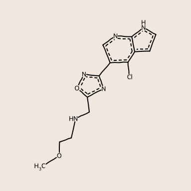 COCCNCc1nc(-c2cnc3[nH]ccc3c2Cl)no1